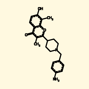 Cc1c(C2CCN(Cc3ccc(N)cc3)CC2)oc2c(C)c(O)ccc2c1=O